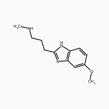 CNCCCc1nc2cc(OC)ccc2[nH]1